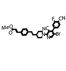 COC(=O)/C=C/c1ccc(CCC2CCN(c3ncc(Br)c(-c4ccc(C#N)c(F)c4)c3C#N)CC2)cc1